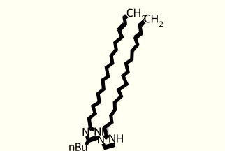 C=CC=CCCCCCCCCCCCCCCc1nc(CCCC)c[nH]1.C=CC=CCCCCCCCCCCCCCCc1ncc[nH]1